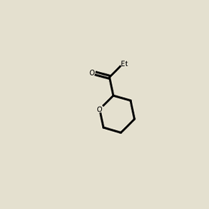 CCC(=O)C1CCCCO1